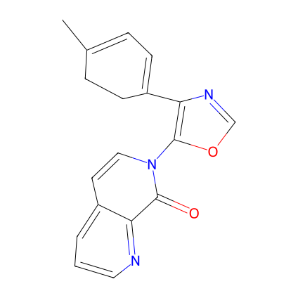 CC1=CC=C(c2ncoc2-n2ccc3cccnc3c2=O)CC1